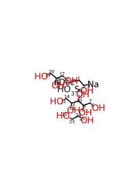 CCCCCCCCCCC[CH2][Na].O=S(=O)(O)O.OCC(O)C(O)C(O)CO.OCC(O)CO.OCCO